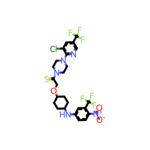 O=[N+]([O-])c1ccc(NC2CCC(OCC(=S)N3CCN(c4ncc(C(F)(F)F)cc4Cl)CC3)CC2)cc1C(F)(F)F